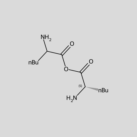 CCCCC(N)C(=O)OC(=O)[C@@H](N)CCCC